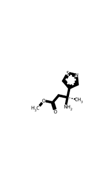 COC(=O)C[C@](C)(N)c1cnsc1